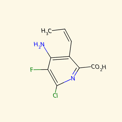 C/C=C\c1c(C(=O)O)nc(Cl)c(F)c1N